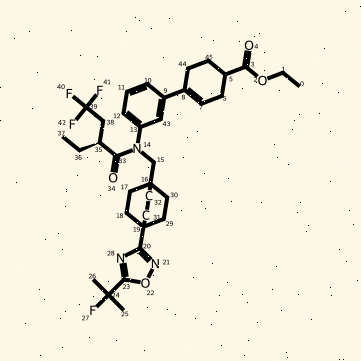 CCOC(=O)C1CC=C(c2cccc(N(CC34CCC(c5noc(C(C)(C)F)n5)(CC3)CC4)C(=O)[C@@H](CC)CC(F)(F)F)c2)CC1